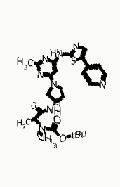 Cc1nc(Nc2ncc(-c3ccncc3)s2)cc(N2CC[C@H](NC(=O)C(C)N(C)C(=O)OC(C)(C)C)C2)n1